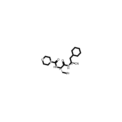 CC(C)C[C@H](NC(=O)N1CCOCC1)C(=O)N[C@H](C#N)CC1CCCCC1